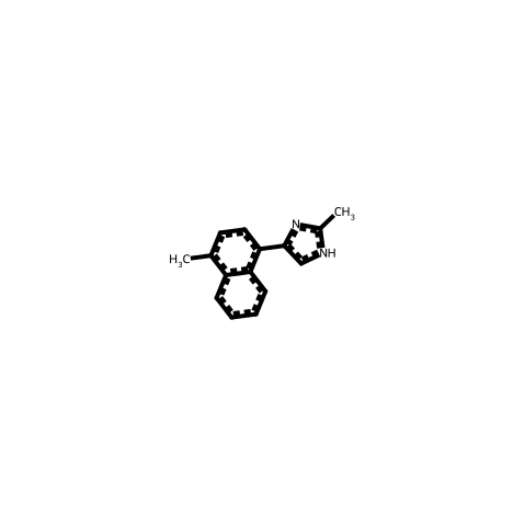 Cc1nc(-c2ccc(C)c3ccccc23)c[nH]1